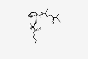 CCCCCNC(=O)Cc1ccccc1SSC(C)CCC(=O)C(C)C